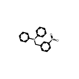 O=[N+]([O-])c1cccc(CN(c2ccccc2)c2ccccc2)c1